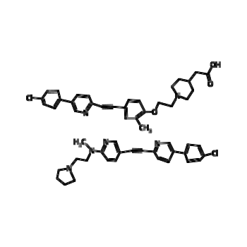 CN(CCN1CCCC1)c1ccc(C#Cc2ccc(-c3ccc(Cl)cc3)cn2)cn1.Cc1cc(C#Cc2ccc(-c3ccc(Cl)cc3)cn2)ccc1OCCN1CCC(CC(=O)O)CC1